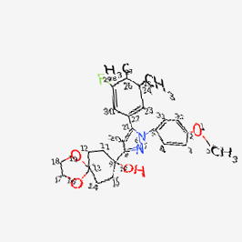 COc1ccc(-n2nc(C3(O)CCC4(CC3)OCCO4)cc2C2=C[C@H](C)C(C)C(F)=C2)cc1